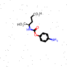 Nc1ccc(OC(=O)N[C@H](CCC(=O)O)C(=O)O)cc1